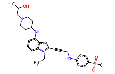 CC(O)CN1CCC(Nc2cccc3c2cc(C#CCNc2ccc(S(C)(=O)=O)cc2)n3CC(F)(F)F)CC1